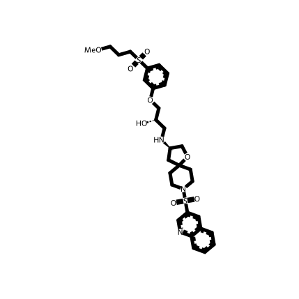 COCCCS(=O)(=O)c1cccc(OC[C@@H](O)CN[C@H]2COC3(CCN(S(=O)(=O)c4cnc5ccccc5c4)CC3)C2)c1